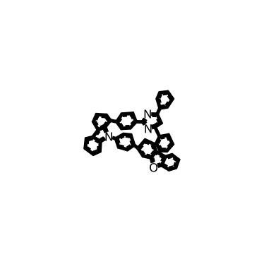 c1ccc(-c2cc(-c3ccccc3)nc(-c3ccc(-c4cccc5c6ccccc6n(-c6ccc(-c7ccc8c(c7)oc7ccccc78)cc6)c45)cc3)n2)cc1